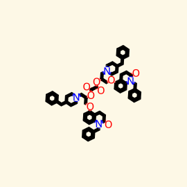 O=C(OC(COc1cccc2c1CCC(=O)N2Cc1ccccc1)CN1CCC(Cc2ccccc2)CC1)C(=O)OC(COc1cccc2c1CCC(=O)N2Cc1ccccc1)CN1CCC(Cc2ccccc2)CC1